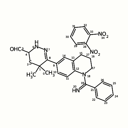 CC1(C)SC(C=O)NN=C1c1ccc2c(c1)CCCN2C(=N)c1ccccc1.O=[N+]([O-])c1ccccc1[N+](=O)[O-]